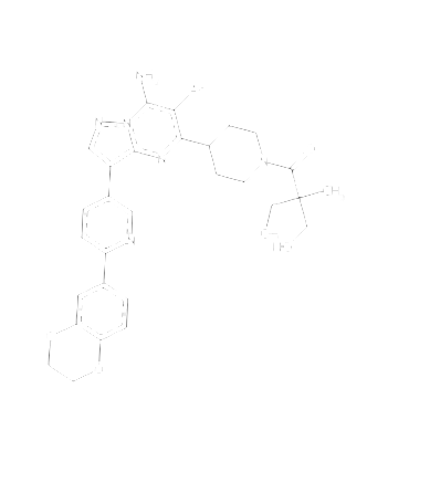 CC(=O)c1c(C2CCN(C(=O)C(C)(CO)CO)CC2)nc2c(-c3ccc(-c4ccc5c(c4)OCCO5)nc3)cnn2c1N